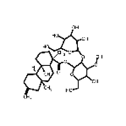 C=C1CC[C@@H]2[C@](C)(CCC3[C@](C)(C(=O)OC4OC(CO)C(O)C(OO)C4OC4OC(CO)C(O)C(O)C4O)CCC[C@]32C)C1